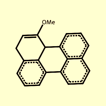 COC1=CCc2cccc3c2C1c1cccc2cccc-3c12